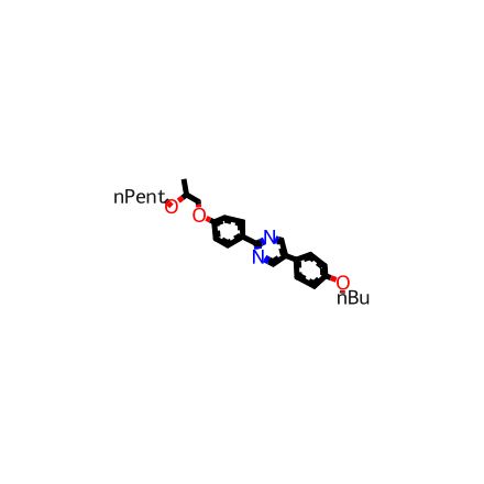 CCCCCOC(C)COc1ccc(-c2ncc(-c3ccc(OCCCC)cc3)cn2)cc1